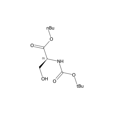 CCCCOC(=O)[C@H](CO)NC(=O)OC(C)(C)C